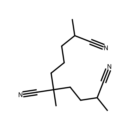 CC(C#N)CCCC(C)(C#N)CCC(C)C#N